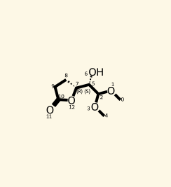 COC(OC)[C@@H](O)[C@H]1CCC(=O)O1